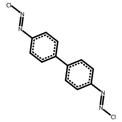 ClN=Nc1ccc(-c2ccc(N=NCl)cc2)cc1